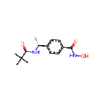 C[C@@H](NC(=O)C(C)(C)C)c1ccc(C(=O)NO)cc1